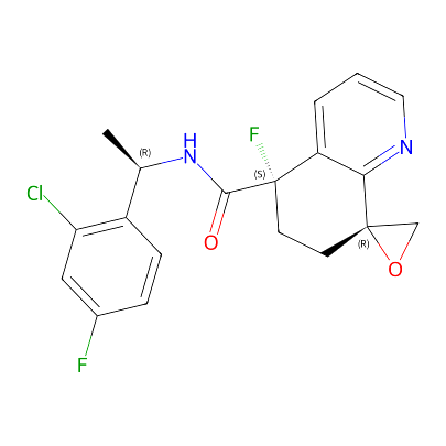 C[C@@H](NC(=O)[C@]1(F)CC[C@]2(CO2)c2ncccc21)c1ccc(F)cc1Cl